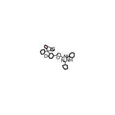 C1=C(c2ccc3c(c2)C2(c4ccccc4O3)c3ccccc3-c3ccccc32)OC(C2N=C(c3ccccc3)NC(c3ccccc3)N2)C1